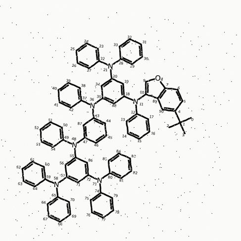 CC(C)(C)c1ccc2occ(N(c3ccccc3)c3cc(N(c4ccccc4)c4ccccc4)cc(N(c4ccccc4)c4cccc(N(c5ccccc5)c5cc(N(c6ccccc6)c6ccccc6)cc(N(c6ccccc6)c6ccccc6)c5)c4)c3)c2c1